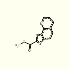 COC(=O)c1nc2c(ccc3cccnc32)o1